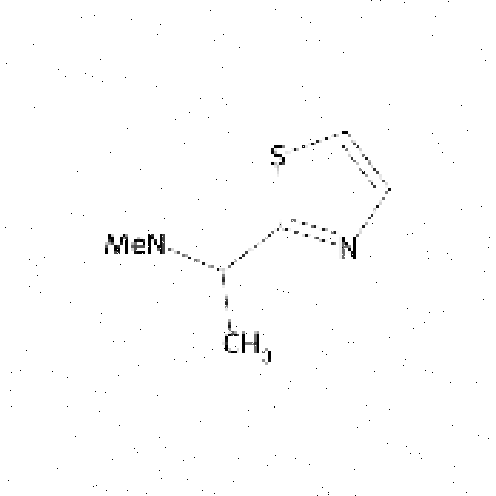 CNC(C)c1nccs1